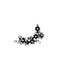 C[C@H](Oc1cc(-c2nn(C)c3c(-c4cnn(C5CCN(CC(F)(F)F)C(C)(C)C5)c4)cnc(N)c23)ccc1NS(=O)(=O)C(F)F)c1ccc(F)cc1